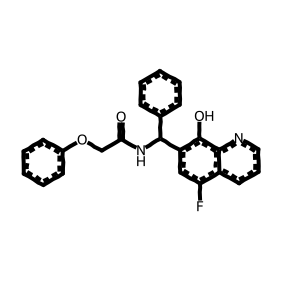 O=C(COc1ccccc1)NC(c1ccccc1)c1cc(F)c2cccnc2c1O